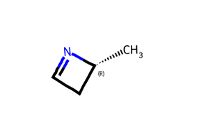 C[C@@H]1CC=N1